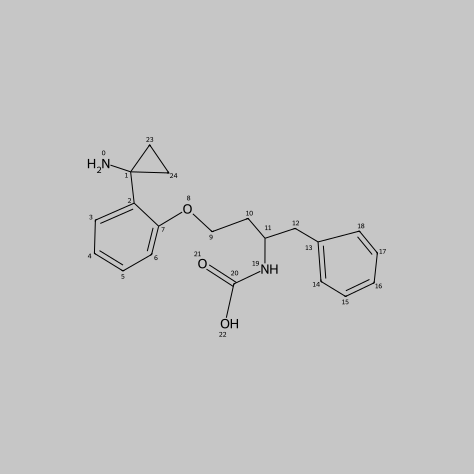 NC1(c2ccccc2OCCC(Cc2ccccc2)NC(=O)O)CC1